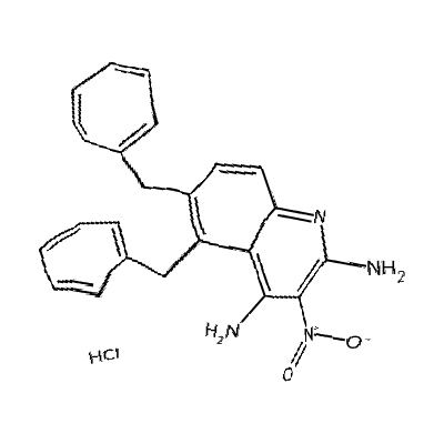 Cl.Nc1nc2ccc(Cc3ccccc3)c(Cc3ccccc3)c2c(N)c1[N+](=O)[O-]